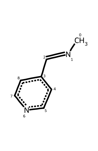 C/N=C/c1ccncc1